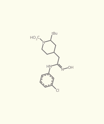 CC(C)(C)C1CC(C/C(=N\O)Nc2cccc(Cl)c2)CCN1C(=O)O